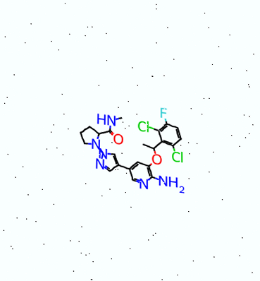 CNC(=O)C1CCCN1n1cc(-c2cnc(N)c(OC(C)c3c(Cl)ccc(F)c3Cl)c2)cn1